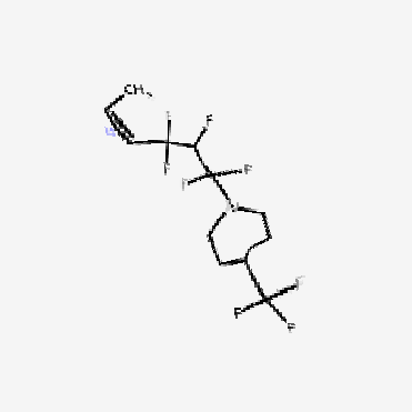 C/C=C\C(F)(F)C(F)C(F)(F)N1CCC(C(F)(F)F)CC1